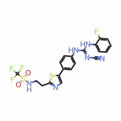 N#CN=C(Nc1ccc(-c2cnc(CCNS(=O)(=O)C(F)(F)F)s2)cc1)Nc1ccccc1F